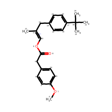 COc1ccc(CC(=O)O/C=C(\C)Cc2ccc(C(C)(C)C)cc2)cc1